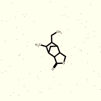 CCC1C(C)C2CC1C1COC(=O)C21